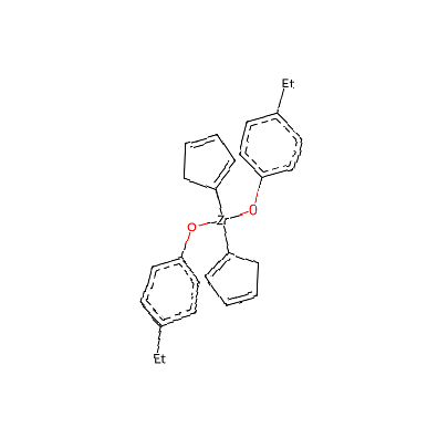 CCc1ccc([O][Zr]([O]c2ccc(CC)cc2)([C]2=CC=CC2)[C]2=CC=CC2)cc1